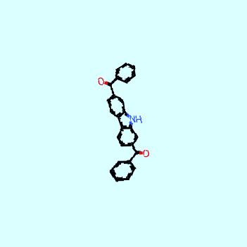 O=C(c1ccccc1)c1ccc2c(c1)[nH]c1cc(C(=O)c3ccccc3)ccc12